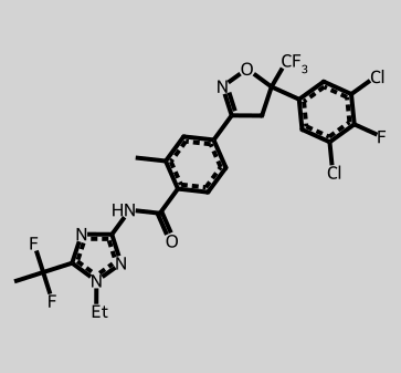 CCn1nc(NC(=O)c2ccc(C3=NOC(c4cc(Cl)c(F)c(Cl)c4)(C(F)(F)F)C3)cc2C)nc1C(C)(F)F